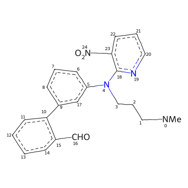 CNCCCN(c1cccc(-c2ccccc2C=O)c1)c1ncccc1[N+](=O)[O-]